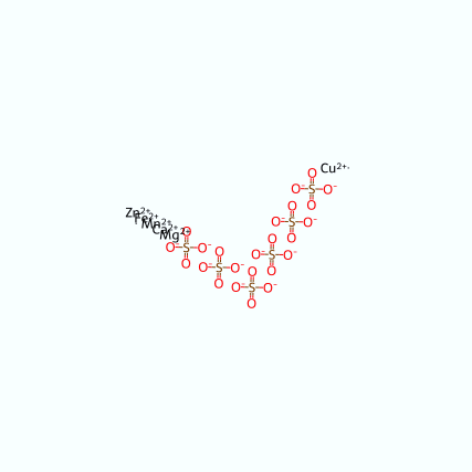 O=S(=O)([O-])[O-].O=S(=O)([O-])[O-].O=S(=O)([O-])[O-].O=S(=O)([O-])[O-].O=S(=O)([O-])[O-].O=S(=O)([O-])[O-].[Ca+2].[Cu+2].[Fe+2].[Mg+2].[Mn+2].[Zn+2]